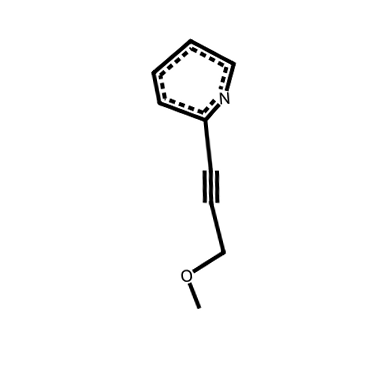 COCC#Cc1ccccn1